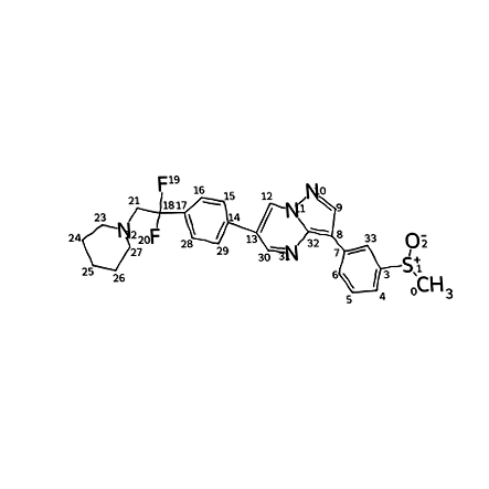 C[S+]([O-])c1cccc(-c2cnn3cc(-c4ccc(C(F)(F)CN5CCCCC5)cc4)cnc23)c1